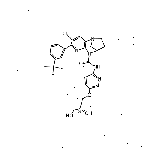 O=C(Nc1ccc(OC[C@H](O)CO)cn1)N1c2nc(-c3cccc(C(F)(F)F)c3)c(Cl)cc2N2CCC1C2